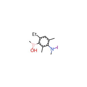 CCc1cc(C)c(N(C)I)c(C)c1B(C)O